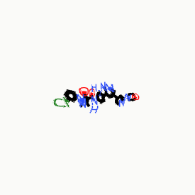 Cc1c(C(=O)Nc2ccc(-c3cc(-c4ccnc(N5CCOCC5)c4)cnc3N)cc2)c(=O)n(-c2cccc(Cl)c2)n1C